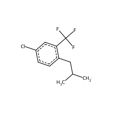 [CH2]C(C)Cc1ccc(Cl)cc1C(F)(F)F